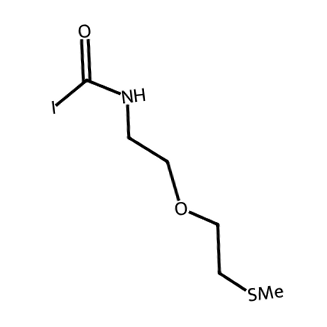 CSCCOCCNC(=O)I